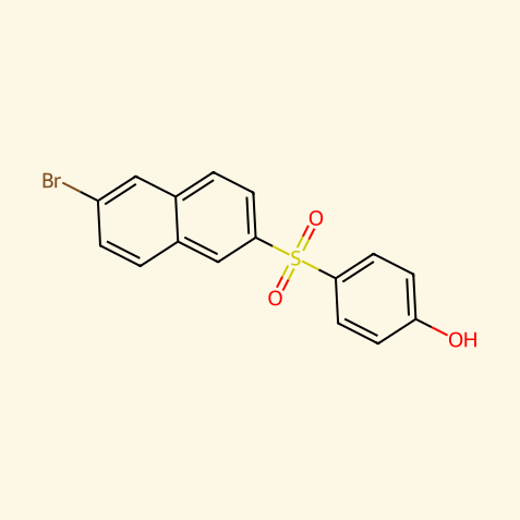 O=S(=O)(c1ccc(O)cc1)c1ccc2cc(Br)ccc2c1